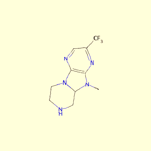 CN1c2nc(C(F)(F)F)cnc2N2CCNCC12